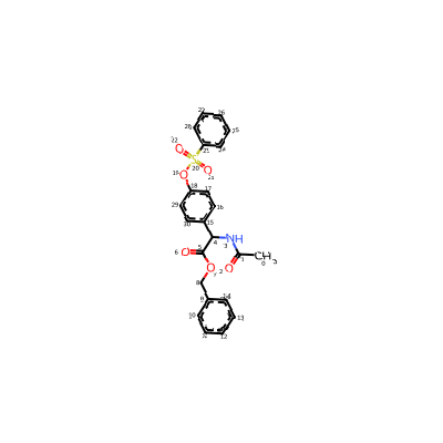 CC(=O)NC(C(=O)OCc1ccccc1)c1ccc(OS(=O)(=O)c2ccccc2)cc1